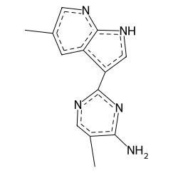 Cc1cnc2[nH]cc(-c3ncc(C)c(N)n3)c2c1